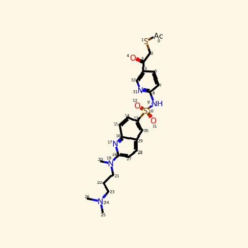 CC(=O)SCC(=O)c1ccc(NS(=O)(=O)c2ccc3nc(N(C)CCCN(C)C)ccc3c2)nc1